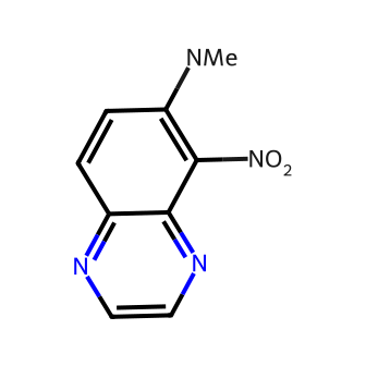 CNc1ccc2nccnc2c1[N+](=O)[O-]